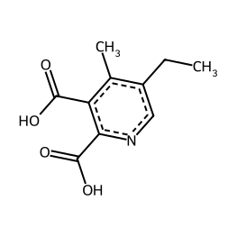 CCc1cnc(C(=O)O)c(C(=O)O)c1C